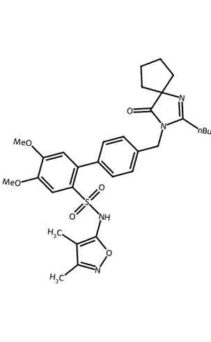 CCCCC1=NC2(CCCC2)C(=O)N1Cc1ccc(-c2cc(OC)c(OC)cc2S(=O)(=O)Nc2onc(C)c2C)cc1